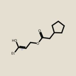 CC/C(O)=C/COC(=O)CC1CCCC1